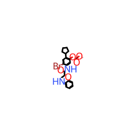 COC(=O)Oc1cc(NC(=O)C2CNc3ccccc3O2)c(Br)cc1C1CCCC1